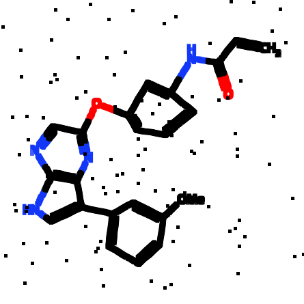 C=CC(=O)Nc1cccc(Oc2cnc3[nH]cc(-c4cccc(OC)c4)c3n2)c1